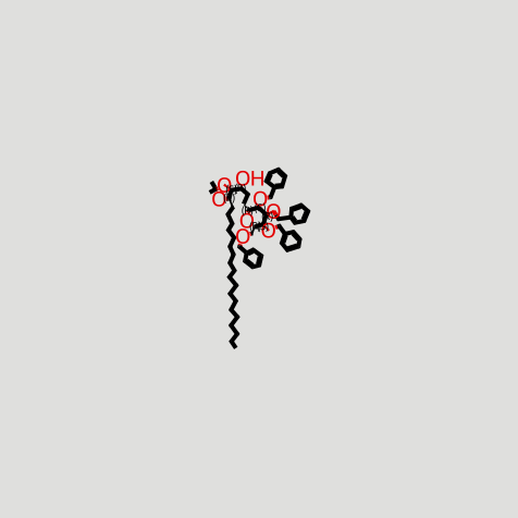 CCCCCCCCCCCCCCCCCCC[C@H]1OC(C)(C)O[C@H]1[C@H](O)CC[C@H]1O[C@H](COCc2ccccc2)[C@H](OCc2ccccc2)[C@H](OCc2ccccc2)[C@H]1OCc1ccccc1